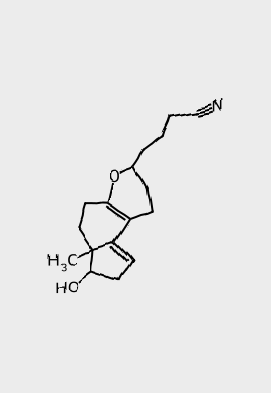 CC12CCC3=C(CCC(CCCC#N)O3)C1=CCC2O